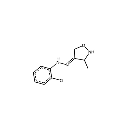 CC1NOCC1=NNc1ccccc1Cl